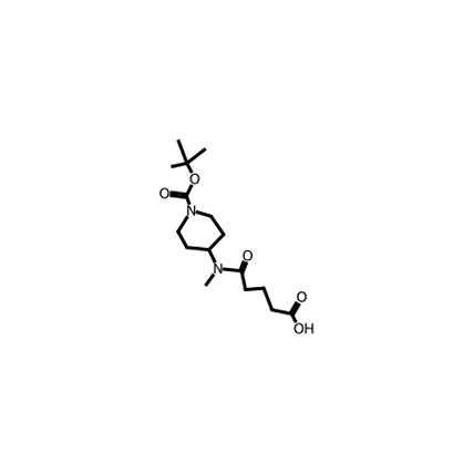 CN(C(=O)CCCC(=O)O)C1CCN(C(=O)OC(C)(C)C)CC1